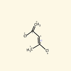 C=C(Cl)/C=C(\C)Cl